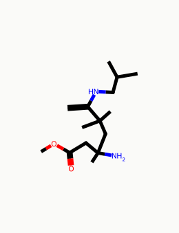 C=C(NCC(C)C)C(C)(C)CC(C)(N)CC(=O)OC